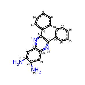 Nc1cc2nc(-c3ccccc3)c(-c3ccccc3)nc2cc1N